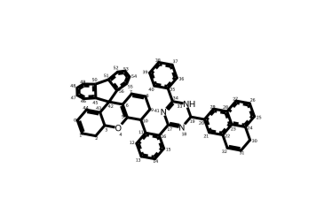 C1=CCC2OC3=C(C=CCC3c3ccccc3C3=NC(c4cc5c6c(cccc6c4)CC=C5)NC(c4ccccc4)=N3)C3(C2=C1)c1ccccc1-c1ccccc13